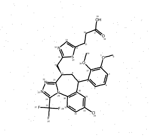 COc1cccc(C2C[C@H](Cc3ncc(CCC(=O)O)s3)c3nnc(C(F)(F)F)n3-c3ccc(Cl)cc32)c1OC